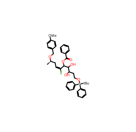 COc1ccc(CO[C@H](C)C/C=C(/F)C(OC(=O)c2ccccc2)C(O)C(O)CCO[Si](c2ccccc2)(c2ccccc2)C(C)(C)C)cc1